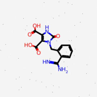 N=C(N)c1ccccc1Cn1c(C(=O)O)c(C(=O)O)[nH]c1=O